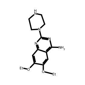 CCOc1cc2nc(N3CCNCC3)nc(N)c2cc1OCC